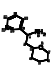 NC(CC1CCCCO1)c1cccnc1